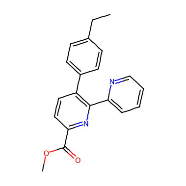 CCc1ccc(-c2ccc(C(=O)OC)nc2-c2ccccn2)cc1